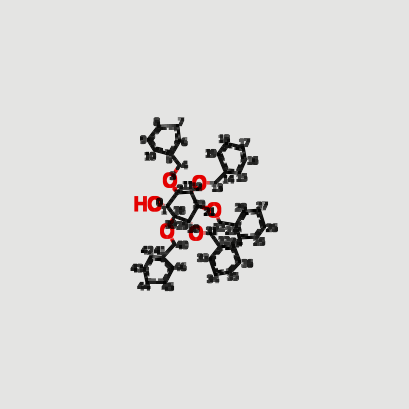 O[C@@H]1[C@@H](OCc2ccccc2)[C@H](OCc2ccccc2)[C@@H](OCc2ccccc2)[C@H](OCc2ccccc2)[C@H]1OCc1ccccc1